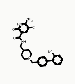 N#Cc1ccccc1-c1ccc(CN2CCC(CNC(=O)c3cc(Cl)c(N)[nH]c3=O)CC2)cc1